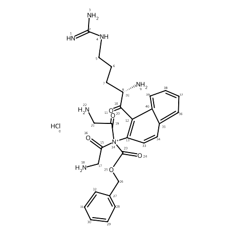 Cl.N=C(N)NCCC[C@H](N)C(=O)c1c([N+](C(=O)CN)(C(=O)CN)C(=O)OCc2ccccc2)ccc2ccccc12